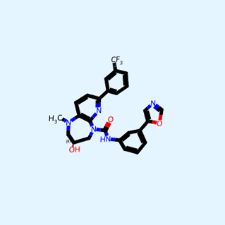 CN1C[C@@H](O)CN(C(=O)Nc2cccc(-c3cnco3)c2)c2nc(-c3cccc(C(F)(F)F)c3)ccc21